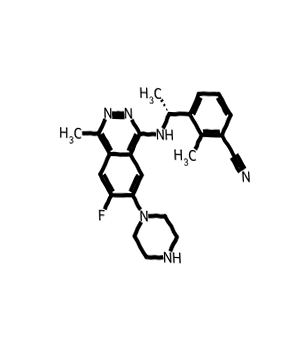 Cc1c(C#N)cccc1[C@@H](C)Nc1nnc(C)c2cc(F)c(N3CCNCC3)cc12